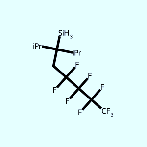 CC(C)C([SiH3])(CC(F)(F)C(F)(F)C(F)(F)C(F)(F)F)C(C)C